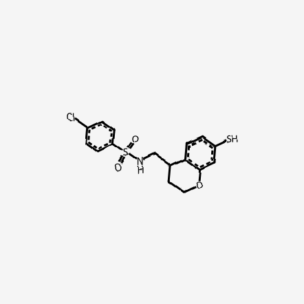 O=S(=O)(NCC1CCOc2cc(S)ccc21)c1ccc(Cl)cc1